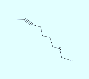 [CH2]CSCCCCC#CC